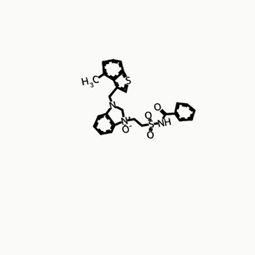 Cc1cccc2scc(CN3C[N+]([O-])(CCS(=O)(=O)NC(=O)c4ccccc4)c4ccccc43)c12